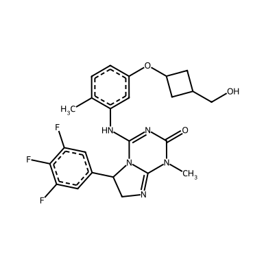 Cc1ccc(OC2CC(CO)C2)cc1NC1=NC(=O)N(C)C2=NCC(c3cc(F)c(F)c(F)c3)N12